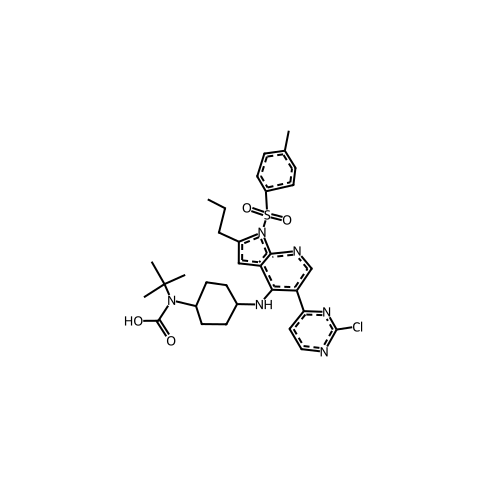 CCCc1cc2c(NC3CCC(N(C(=O)O)C(C)(C)C)CC3)c(-c3ccnc(Cl)n3)cnc2n1S(=O)(=O)c1ccc(C)cc1